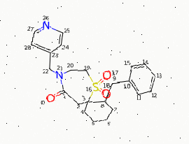 O=C1CC2(CCCCC2Cc2ccccc2)S(=O)(=O)CCN1Cc1ccncc1